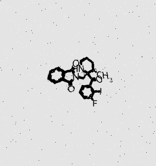 C[C@@H]1CCCN[C@@]1(CN1C(=O)c2ccccc2C1=O)C(=O)c1cccc(F)c1I